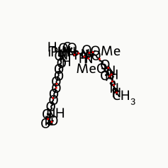 COc1cc2c(cc1OCCCCCOc1cc3c(cc1OC)C(=O)N1C=C(c4ccc(N5CCN(C)CC5)cc4)C[C@H]1C=N3)N=C[C@@H]1CC(c3ccc(NC(=O)[C@H](C)NC(=O)[C@@H](NC(=O)CCOCCOCCOCCOCCOCCOCCOCCOCCNC(=O)CCN4C(=O)C=CC4=O)C(C)C)cc3)=CN1C2=O